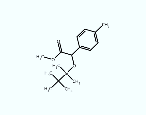 COC(=O)C(O[Si](C)(C)C(C)(C)C)c1ccc(C)cc1